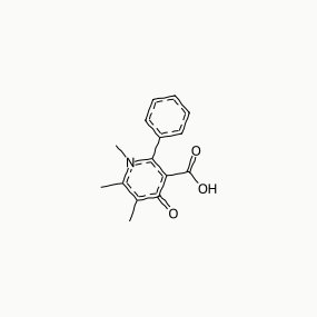 Cc1c(C)n(C)c(-c2ccccc2)c(C(=O)O)c1=O